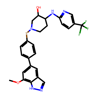 COc1cc(-c2ccc(SN3CCC(Nc4ccc(C(F)(F)F)cn4)C(O)C3)cc2)cc2cn[nH]c12